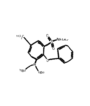 CCCCN(CCCC)c1cc(C(=O)O)cc(S(=O)(=O)NC(C)=O)c1Oc1ccccc1